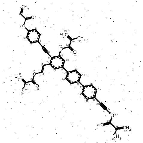 C=CC(=O)Oc1ccc(C#Cc2c(/C=C/OC(=O)C(=C)C)cc(-c3ccc(-c4ccc(C#COC(=O)C(=C)C)cc4)cc3)cc2OC(=O)C(=C)C)cc1